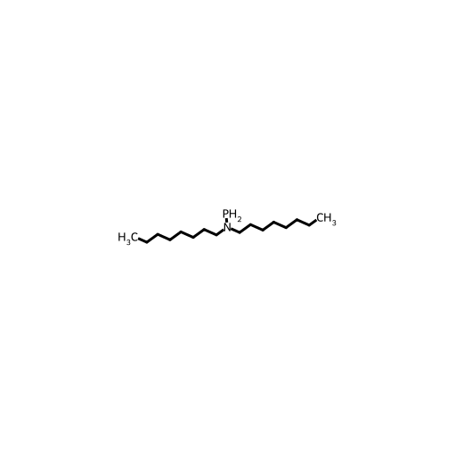 CCCCCCCCN(P)CCCCCCCC